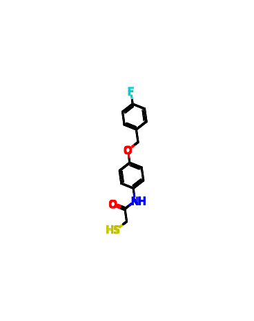 O=C(CS)Nc1ccc(OCc2ccc(F)cc2)cc1